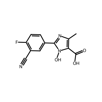 Cc1nc(-c2ccc(F)c(C#N)c2)n(O)c1C(=O)O